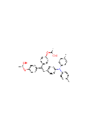 Cc1ccc(N(c2ccc(C)cc2)c2ccc(C=C(c3ccc(OC(C)O)cc3)c3ccc(OC(C)O)cc3)cc2)cc1